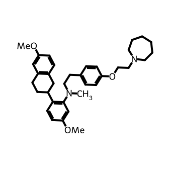 COc1ccc2c(c1)CCC(c1ccc(OC)cc1N(C)CCc1ccc(OCCN3CCCCCC3)cc1)C2